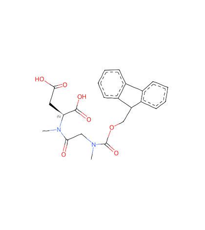 CN(CC(=O)N(C)[C@@H](CC(=O)O)C(=O)O)C(=O)OCC1c2ccccc2-c2ccccc21